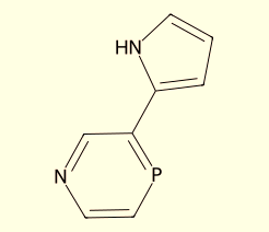 c1c[nH]c(-c2cnccp2)c1